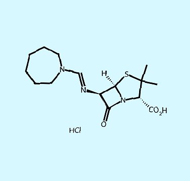 CC1(C)S[C@@H]2[C@H](N=CN3CCCCCC3)C(=O)N2[C@H]1C(=O)O.Cl